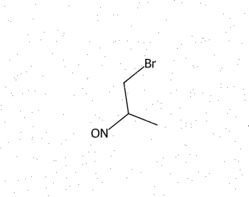 CC(CBr)N=O